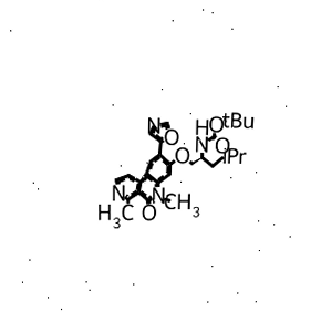 Cc1nccc2c1c(=O)n(C)c1cc(OC[C@H](CC(C)C)NC(=O)OC(C)(C)C)c(-c3cnco3)cc21